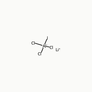 [Cl][Al-]([Cl])([Cl])[I].[Li+]